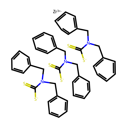 S=C([S-])N(Cc1ccccc1)Cc1ccccc1.S=C([S-])N(Cc1ccccc1)Cc1ccccc1.S=C([S-])N(Cc1ccccc1)Cc1ccccc1.[Zr+3]